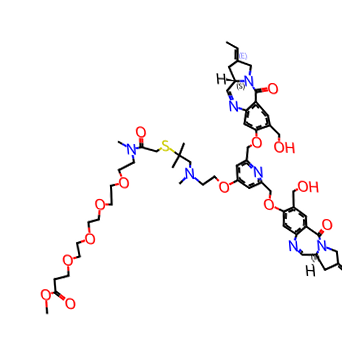 C/C=C1\C[C@H]2C=Nc3cc(OCc4cc(OCCN(C)CC(C)(C)SCC(=O)N(C)CCOCCOCCOCCOCCC(=O)OC)cc(COc5cc6c(cc5CO)C(=O)N5C/C(=C/C)C[C@H]5C=N6)n4)c(CO)cc3C(=O)N2C1